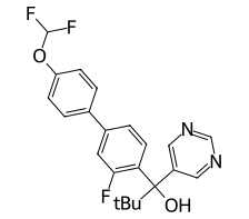 CC(C)(C)C(O)(c1cncnc1)c1ccc(-c2ccc(OC(F)F)cc2)cc1F